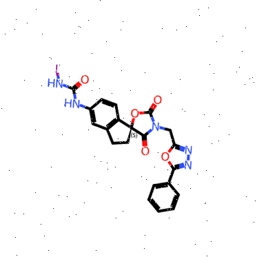 O=C(NI)Nc1ccc2c(c1)CC[C@]21OC(=O)N(Cc2nnc(-c3ccccc3)o2)C1=O